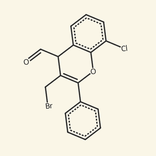 O=CC1C(CBr)=C(c2ccccc2)Oc2c(Cl)cccc21